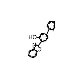 Oc1cc(-c2ccccc2)ccc1-c1nc2ccccc2o1